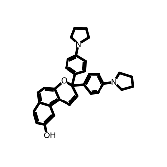 Oc1ccc2ccc3c(c2c1)C=CC(c1ccc(N2CCCC2)cc1)(c1ccc(N2CCCC2)cc1)O3